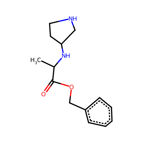 CC(NC1CCNC1)C(=O)OCc1ccccc1